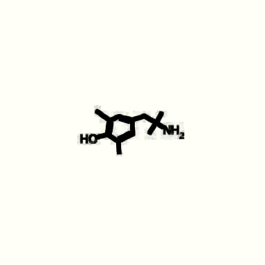 Cc1cc(CC(C)(C)N)cc(C)c1O